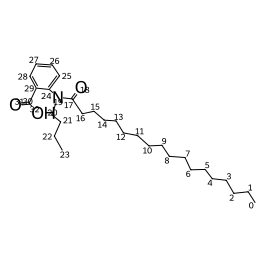 CCCCCCCCCCCCCCCCCC(=O)N(CCCC)c1ccccc1C(=O)O